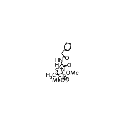 COP(=O)(OC)C1N2C(=O)C(NC(=O)Cc3ccccc3)[C@@H]2SC1(C)C